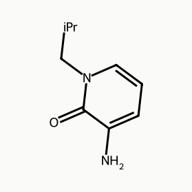 CC(C)Cn1cccc(N)c1=O